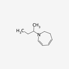 CCC(C)N1C=CC=CCC1